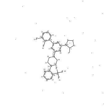 CC1CCCN1c1nc(-c2cccc(F)c2F)nc(N2CCN(c3ncccc3C(F)(F)F)CC2)n1